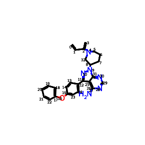 C=CC(=C)N1CCCC(n2nc(-c3ccc(Oc4ccccc4)cc3)c3c(N)ncnc32)C1